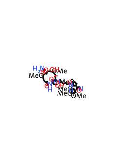 COc1ccc(-c2cnoc2-c2cc(OC)c(OC)c(OC)c2)cc1NC(=O)CCCCCNC1=C2C[C@@H](C)C[C@H](OC)[C@@H](O)[C@@H](C)/C=C(\C)[C@H](OC(N)=O)[C@@H](OC)/C=C\C=C(/C)C(=O)NC(=CC1O)C2=O